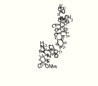 COc1c(Cl)ccc(-c2nc(C(=O)OCc3ccc(C4CCC(=O)C(C(=O)c5ccc(S(C)(=O)=O)c(OCCC6OCCO6)c5Cl)C4=O)cc3)c(Cl)c(N)c2F)c1F